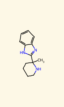 CC1(c2nc3ccccc3[nH]2)CCCCN1